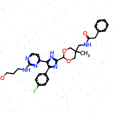 CC1(CNC(=O)Cc2ccccc2)COC(c2nc(-c3ccc(F)cc3)c(-c3ccnc(NCCCO)n3)[nH]2)OC1